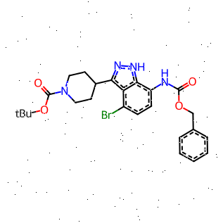 CC(C)(C)OC(=O)N1CCC(c2n[nH]c3c(NC(=O)OCc4ccccc4)ccc(Br)c23)CC1